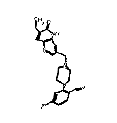 CCc1cc2ncc(CN3CCN(c4cc(F)ccc4C#N)CC3)cc2[nH]c1=O